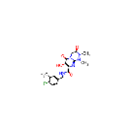 Cc1cc(CNC(=O)c2nc3n(c(=O)c2O)CC(=O)N(C)N3C)ccc1F